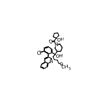 COCCCC[C@](O)(c1cccc(Cl)c1-c1cnc2ccccc2c1)C1CCCN(C(=O)C2(O)CCCC2)C1